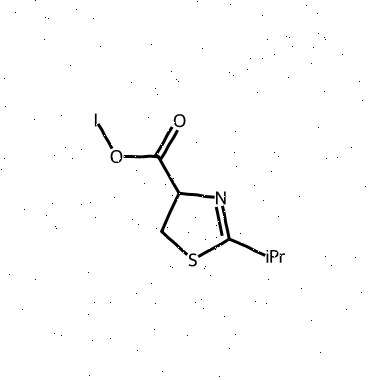 CC(C)C1=NC(C(=O)OI)CS1